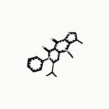 Cc1csc2c(=O)c3c(=O)n(-c4ccccc4)c(C(C)C)cc3n(C)c12